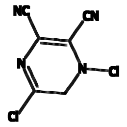 N#CC1=C(C#N)N(Cl)CC(Cl)=N1